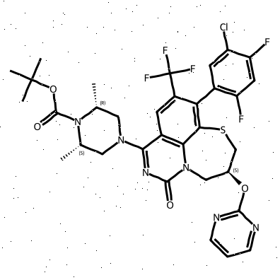 C[C@@H]1CN(c2nc(=O)n3c4c(c(-c5cc(Cl)c(F)cc5F)c(C(F)(F)F)cc24)SC[C@@H](Oc2ncccn2)C3)C[C@H](C)N1C(=O)OC(C)(C)C